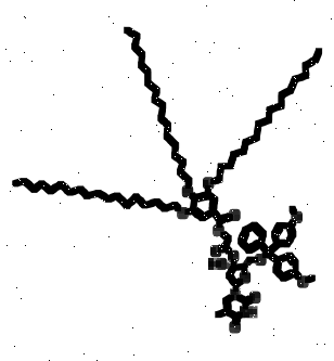 CCCCCCCCCCCCCCCCCCOc1cc(C(=O)OCC(=O)O[C@]2(O)C[C@H](n3cc(C)c(=O)[nH]c3=O)O[C@@H]2COC(c2ccccc2)(c2ccc(OC)cc2)c2ccc(OC)cc2)cc(OCCCCCCCCCCCCCCCCCC)c1OCCCCCCCCCCCCCCCCCC